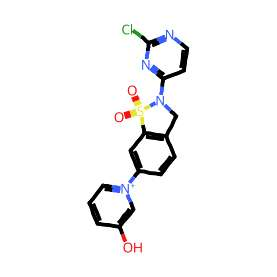 O=S1(=O)c2cc(-[n+]3cccc(O)c3)ccc2CN1c1ccnc(Cl)n1